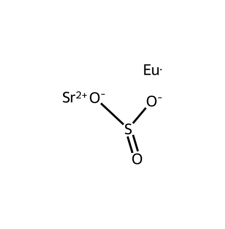 O=S([O-])[O-].[Eu].[Sr+2]